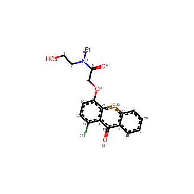 CCN(CCO)C(=O)COc1ccc(F)c2c(=O)c3ccccc3sc12